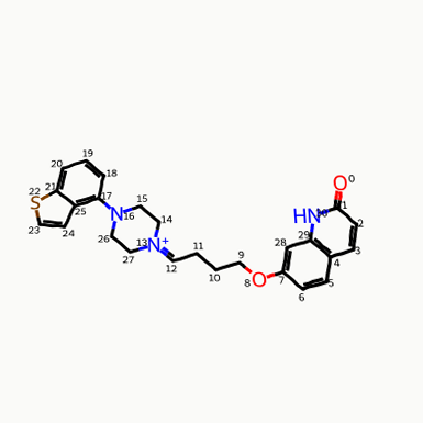 O=c1ccc2ccc(OCCCC=[N+]3CCN(c4cccc5sccc45)CC3)cc2[nH]1